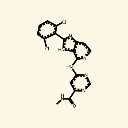 CNC(=O)c1cc(Nc2nccc3nc(-c4c(Cl)cccc4Cl)[nH]c23)ncn1